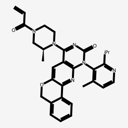 C=CC(=O)N1CCN(c2nc(=O)n(-c3c(C)ccnc3C(C)C)c3nc4c(cc23)OCc2ccccc2-4)[C@@H](C)C1